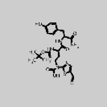 CC(C)(C)OC(=O)NC(CCN(C(=O)O)c1ncc(C=O)s1)C(=O)NC(Cc1ccc(O)cc1)C(N)=O